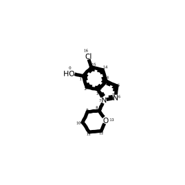 Oc1cc2c(cnn2C2CCCCO2)cc1Cl